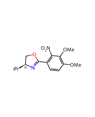 COc1ccc(C2=N[C@@H](C(C)C)CO2)c([N+](=O)[O-])c1OC